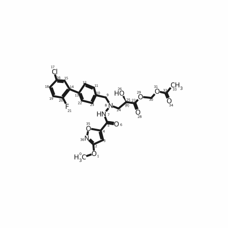 COc1cc(C(=O)NN(Cc2ccc(-c3cc(Cl)ccc3F)cc2)C[C@@H](O)C(=O)OCOC(C)=O)on1